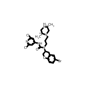 C[C@@H]1CN[C@@H](C)CN1CCCN(C(=O)Nc1cc(Cl)nc(Cl)c1)C1COc2ccc(Br)cc2C1